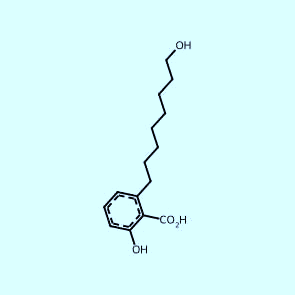 O=C(O)c1c(O)cccc1CCCCCCCCO